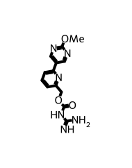 COc1ncc(-c2cccc(COC(=O)NC(=N)N)n2)cn1